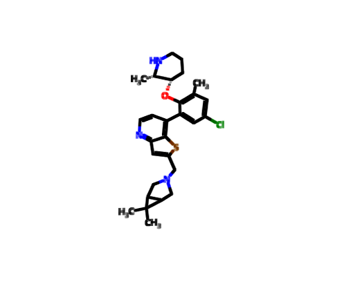 Cc1cc(Cl)cc(-c2ccnc3cc(CN4CC5C(C4)C5(C)C)sc23)c1O[C@H]1CCCN[C@H]1C